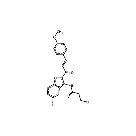 COc1ccc(C=CC(=O)c2oc3ccc(Br)cc3c2NC(=O)CCCl)cc1